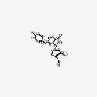 N#Cc1ccc(-n2[nH]c(=O)c3cnc(Nc4ccc(F)cn4)cc32)cc1Cl